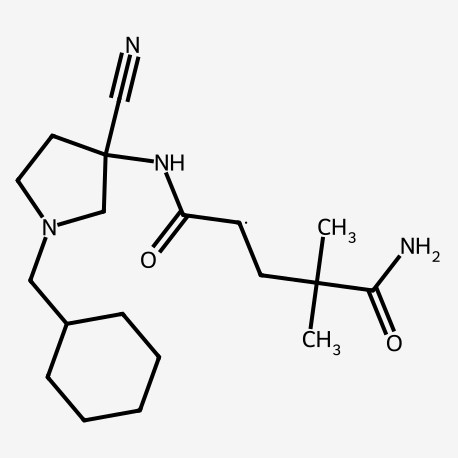 CC(C)(C[CH]C(=O)NC1(C#N)CCN(CC2CCCCC2)C1)C(N)=O